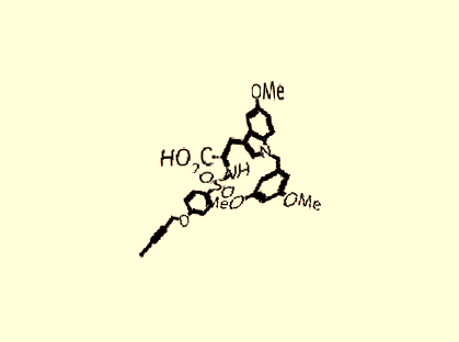 CC#CCOc1ccc(S(=O)(=O)N[C@@H](Cc2cn(Cc3cc(OC)cc(OC)c3)c3ccc(OC)cc23)C(=O)O)cc1